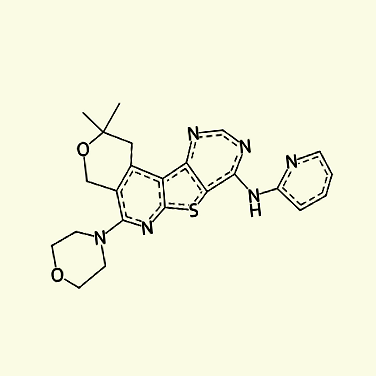 CC1(C)Cc2c(c(N3CCOCC3)nc3sc4c(Nc5ccccn5)ncnc4c23)CO1